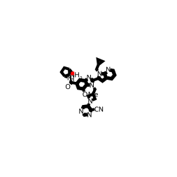 COc1cc(C(=O)N2CC3CCC2[C@@H]3N)cc2nc(-c3cc4cccnc4n3CC3CC3)n(CC3CN(c4cncnc4C#N)C3)c12